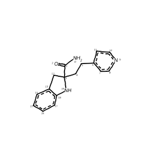 NC(=O)C1(CCc2ccncc2)Cc2ccccc2N1